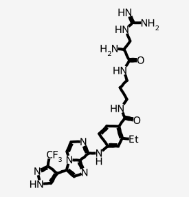 CCc1cc(Nc2nccn3c(-c4c[nH]nc4C(F)(F)F)cnc23)ccc1C(=O)NCCCNC(=O)C(N)CNC(=N)N